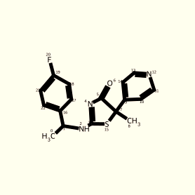 CC(NC1=NC(=O)C(C)(c2ccncc2)S1)c1ccc(F)cc1